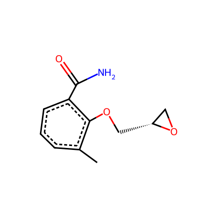 Cc1cccc(C(N)=O)c1OC[C@@H]1CO1